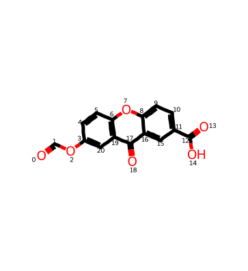 O=COc1ccc2oc3ccc(C(=O)O)cc3c(=O)c2c1